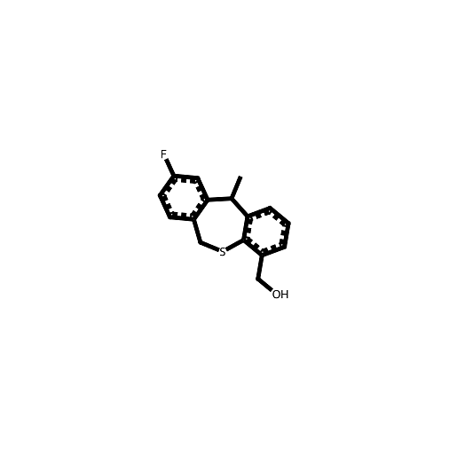 CC1c2cc(F)ccc2CSc2c(CO)cccc21